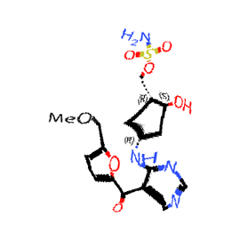 COCc1ccc(C(=O)c2cncnc2N[C@@H]2C[C@H](COS(N)(=O)=O)[C@@H](O)C2)o1